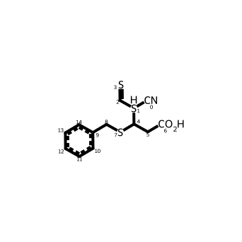 N#C[SH](C=S)C(CC(=O)O)SCc1ccccc1